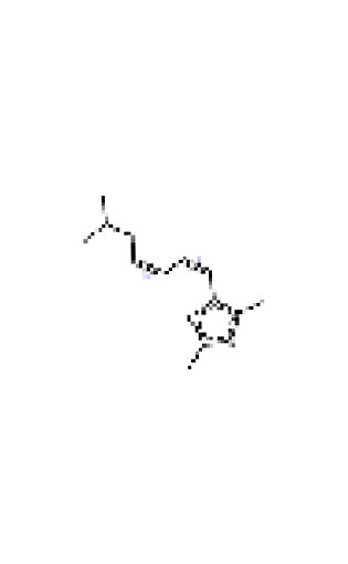 Cc1nc(C)c(/C=C\C=C/CC(C)C)o1